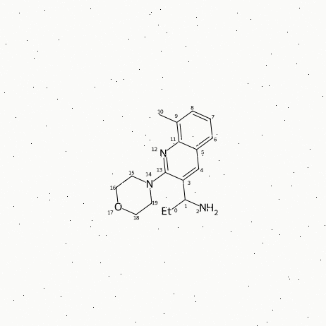 CCC(N)c1cc2cccc(C)c2nc1N1CCOCC1